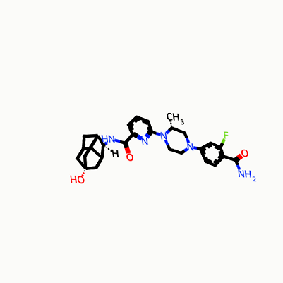 C[C@@H]1CN(c2ccc(C(N)=O)c(F)c2)CCN1c1cccc(C(=O)N[C@H]2C3CC4CC2C[C@](O)(C4)C3)n1